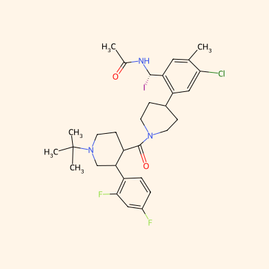 CC(=O)N[C@@H](I)c1cc(C)c(Cl)cc1C1CCN(C(=O)C2CCN(C(C)(C)C)CC2c2ccc(F)cc2F)CC1